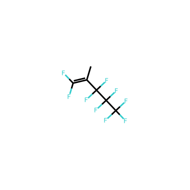 CC(=C(F)F)C(F)(F)C(F)(F)C(F)(F)F